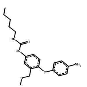 CCCCCNC(=O)Nc1ccc(Oc2ccc(N)cc2)c(COC)c1